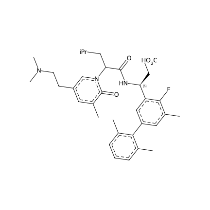 Cc1cc(-c2c(C)cccc2C)cc([C@H](CC(=O)O)NC(=O)C(CC(C)C)n2cc(CCN(C)C)cc(C)c2=O)c1F